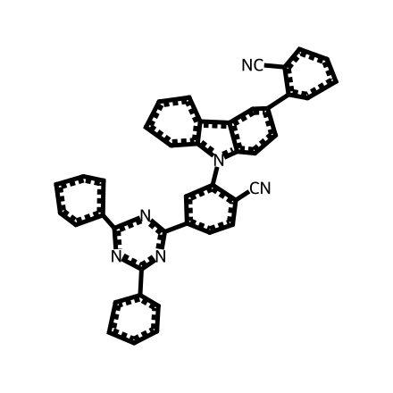 N#Cc1ccccc1-c1ccc2c(c1)c1ccccc1n2-c1cc(-c2nc(-c3ccccc3)nc(-c3ccccc3)n2)ccc1C#N